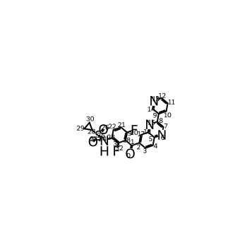 O=C(c1ccc2ncc(-c3cccnc3)nc2c1)c1c(F)ccc(NS(=O)(=O)C2CC2)c1F